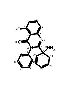 N[C@]1(c2nc3cccc(F)c3c(=O)n2-c2ccccc2)C=CC=CC1